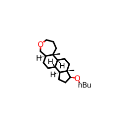 CCCCO[C@H]1CC[C@H]2[C@@H]3CC[C@H]4COCCC[C@]4(C)[C@H]3CC[C@]12C